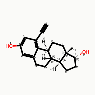 [C]#Cc1cc(O)cc2c1[C@H]1CC[C@]3(C)[C@H](O)CC[C@H]3[C@@H]1CC2